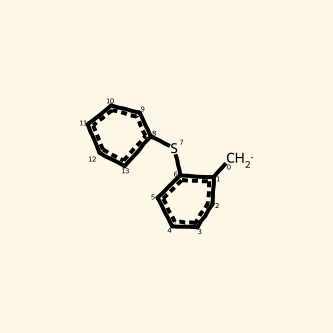 [CH2]c1ccccc1Sc1ccccc1